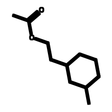 CC(=O)OCCC1CCCC(C)C1